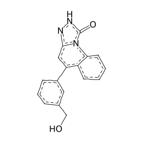 O=c1[nH]nc2cc(-c3cccc(CO)c3)c3ccccc3n12